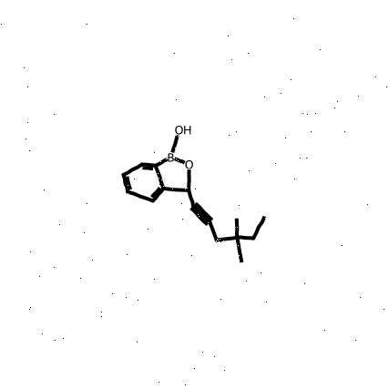 CCC(C)(C)CC#CC1OB(O)c2ccccc21